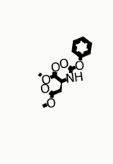 COC(=O)C[C@H](NC(=O)Oc1ccccc1)C(=O)OC